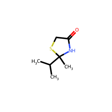 CC(C)C1(C)NC(=O)CS1